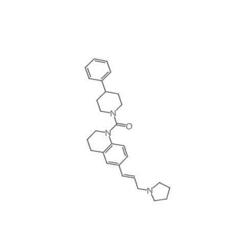 O=C(N1CCC(c2ccccc2)CC1)N1CCCc2cc(/C=C/CN3CCCC3)ccc21